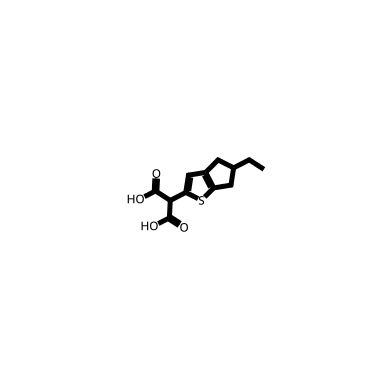 CCC1Cc2cc(C(C(=O)O)C(=O)O)sc2C1